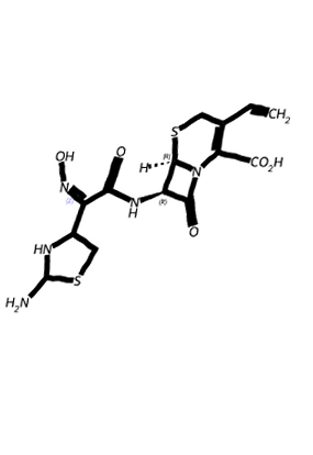 C=CC1=C(C(=O)O)N2C(=O)[C@@H](NC(=O)/C(=N\O)C3CSC(N)N3)[C@H]2SC1